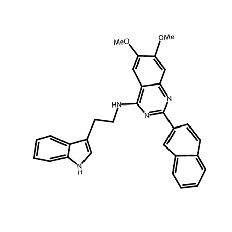 COc1cc2nc(-c3ccc4ccccc4c3)nc(NCCc3c[nH]c4ccccc34)c2cc1OC